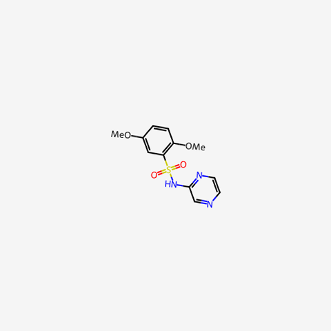 COc1ccc(OC)c(S(=O)(=O)Nc2cnccn2)c1